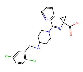 O=C(O)C1(N=C(c2ccccn2)N2CCC(NCc3cc(Cl)ccc3Cl)CC2)CC1